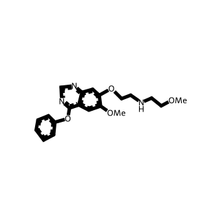 COCCNCCOc1cc2ncnc(Oc3ccccc3)c2cc1OC